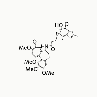 COc1cc2c(c(OC)c1OC)-c1ccc(OC)c(=O)cc1[C@@H](NC(=O)CCC1C[C@@]13C(C)=C1C=C(C)C=C1C(=O)C3(C)O)CC2